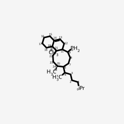 CC(C)CCCC(C)C1CCC(P)C2CC=C3CCCC[C@]3(C)C2CC[C@@H]1C